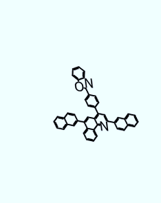 c1ccc2cc(-c3cc(-c4ccc(-c5nc6ccccc6o5)cc4)c4cc(-c5ccc6ccccc6c5)c5ccccc5c4n3)ccc2c1